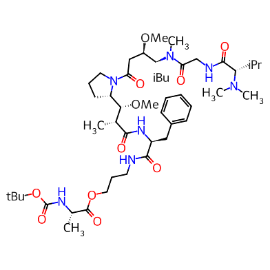 CC[C@H](C)[C@@H]([C@@H](CC(=O)N1CCC[C@H]1[C@H](OC)[C@@H](C)C(=O)N[C@@H](Cc1ccccc1)C(=O)NCCCOC(=O)[C@H](C)NC(=O)OC(C)(C)C)OC)N(C)C(=O)CNC(=O)[C@H](C(C)C)N(C)C